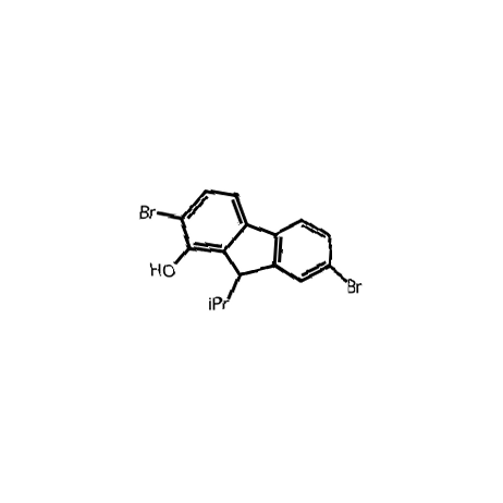 CC(C)C1c2cc(Br)ccc2-c2ccc(Br)c(O)c21